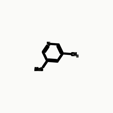 CSc1cncc(C)c1